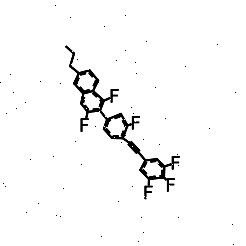 CCCc1ccc2c(F)c(-c3ccc(C#Cc4cc(F)c(F)c(F)c4)c(F)c3)c(F)cc2c1